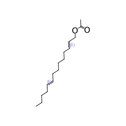 CCCC/C=C/CCCCC/C=C/COC(C)=O